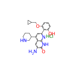 Cl.Nc1cc2c(C3CCCNC3)cc(-c3c(O)cccc3OCC3CC3)nc2[nH]c1=O